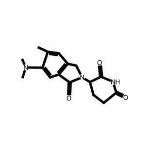 Cc1cc2c(cc1N(C)C)C(=O)N(C1CCC(=O)NC1=O)C2